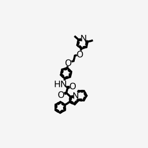 Cc1cc(OCCOc2ccc(NC(=O)C(=O)c3c(-c4ccccc4)cc4ccccn34)cc2)cc(C)n1